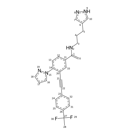 C=C(NCCCc1cn[nH]c1)c1ccc(-n2cccn2)c(C#Cc2ccc(C(C)(F)F)cc2)c1